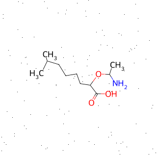 CC(C)CCCCC(OC(C)N)C(=O)O